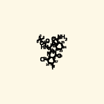 CC(C)(C)OC(=O)NC(c1nc2c(Cl)cc(F)cc2c(=O)n1-c1cccc(C(N)=O)c1)C1CC1